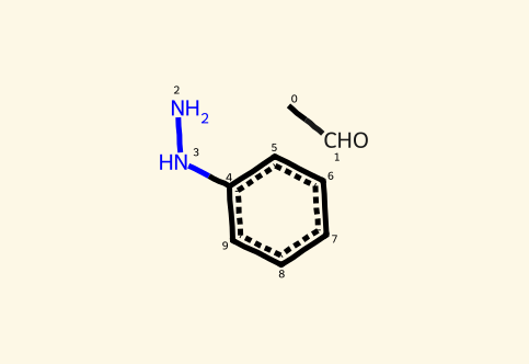 CC=O.NNc1ccccc1